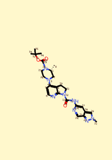 C[C@@H]1CN(c2ccnc3c2CCN3C(=O)Nc2cc3cn(C)nc3cn2)CCN1C(=O)OC(C)(C)C